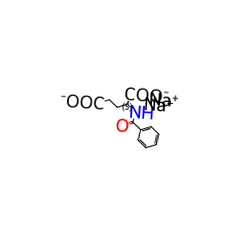 O=C([O-])CC[C@H](NC(=O)c1ccccc1)C(=O)[O-].[Na+].[Na+]